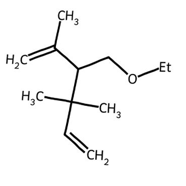 C=CC(C)(C)C(COCC)C(=C)C